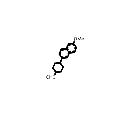 COc1ccc2cc(C3CCC(C=O)CC3)ccc2c1